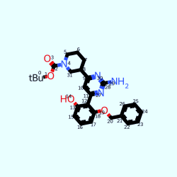 CC(C)(C)OC(=O)N1CCCC(c2cc(-c3c(O)cccc3OCc3ccccc3)nc(N)n2)C1